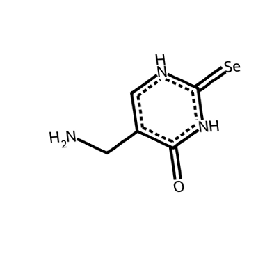 NCc1c[nH]c(=[Se])[nH]c1=O